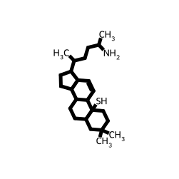 CC(N)CCC(C)C1CCC2C1C=CC1C2CCC2CC(C)(C)CCC21S